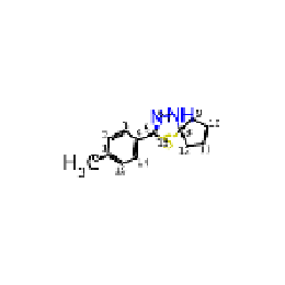 Cc1ccc(C2=NNC3(CCCC3)S2)cc1